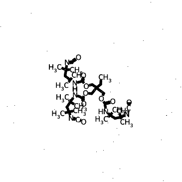 CCC(COC(=O)NC(C)(C)CC(C)(C)N=C=O)(COC(=O)NC(C)(C)CC(C)(C)N=C=O)COC(=O)NC(C)(C)CC(C)(C)N=C=O